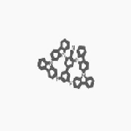 N#Cc1c(-n2c3ccccc3c3ccc(-n4c5ccccc5c5ccccc54)cc32)cc(-c2cc(F)cc(F)c2)cc1-n1c2ccccc2c2ccc(-n3c4ccccc4c4ccccc43)cc21